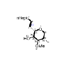 CCCCCCC/C=C/[C@@H]1OC[C@H](C)[C@@H](OC)[C@H]1O